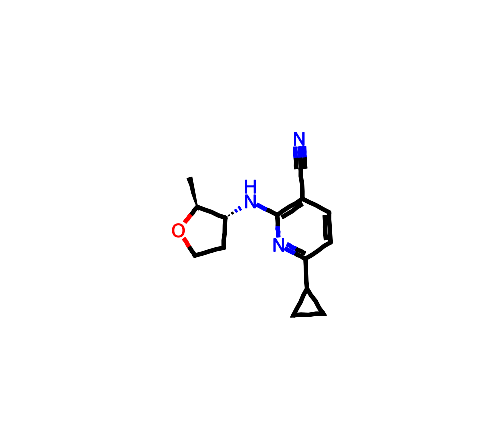 C[C@@H]1OCC[C@H]1Nc1nc(C2CC2)ccc1C#N